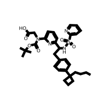 CCCCC1(c2ccc(CC(NS(=O)(=O)c3ccccn3)c3cccc(N(CC(=O)O)C(=O)OC(C)(C)C)n3)cc2)CCC1